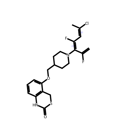 C=C(F)/C(=C(F)\C=C(/C)Cl)N1CCC(COc2cccc3c2CSC(=O)N3)CC1